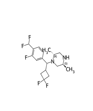 C[C@@H]1CN[C@@H](C)CN1C(c1ccc(C(F)F)c(F)c1)C1CC(F)(F)C1